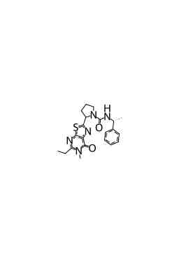 CCc1nc2sc(C3CCCN3C(=O)N[C@H](C)c3ccccc3)nc2c(=O)n1C